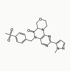 Cn1nccc1-c1ncc2c(n1)N1CCOCC1C(=O)N2Cc1ccc(S(C)(=O)=O)cc1